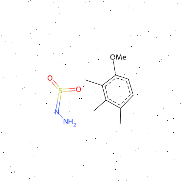 COc1ccc(C)c(C)c1C.NN=S(=O)=O